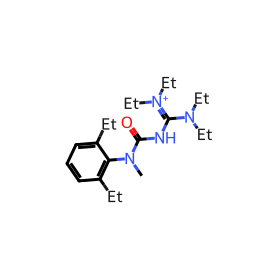 CCc1cccc(CC)c1N(C)C(=O)NC(N(CC)CC)=[N+](CC)CC